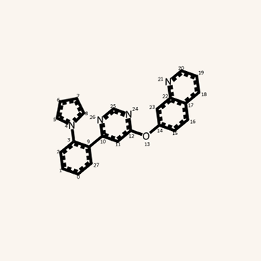 c1ccc(-n2cccc2)c(-c2cc(Oc3ccc4cccnc4c3)ncn2)c1